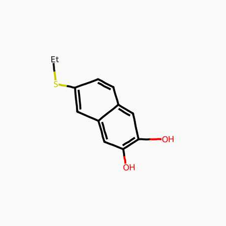 CCSc1ccc2cc(O)c(O)cc2c1